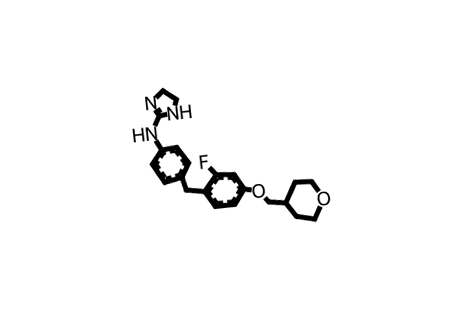 Fc1cc(OCC2CCOCC2)ccc1Cc1ccc(NC2=NCCN2)cc1